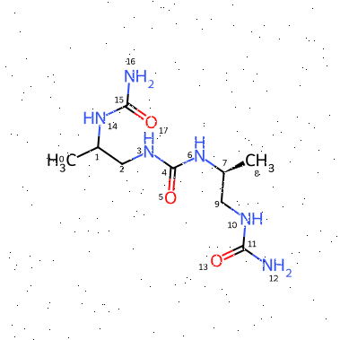 CC(CNC(=O)N[C@@H](C)CNC(N)=O)NC(N)=O